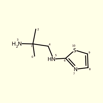 CC(C)(N)CNc1nccs1